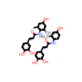 Cc1cc(O)cc(C(=O)O)c1NC(=O)/C=C/c1ccc(O)c(O)c1.O=C(/C=C/c1ccc(O)c(O)c1)Nc1ccc(O)cc1C(=O)O